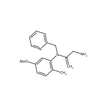 C=C(CN)N(Cc1ccccn1)c1cc(OC)ccc1C